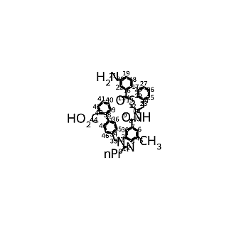 CCCc1nc2c(C)cc(C(=O)N[C@@H](CSC(=O)c3cccc(N)c3)Cc3ccccc3)cc2n1Cc1ccc(-c2ccccc2C(=O)O)cc1